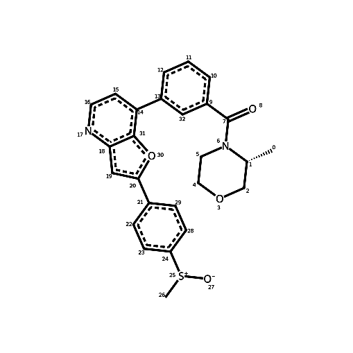 C[C@@H]1COCCN1C(=O)c1cccc(-c2ccnc3cc(-c4ccc([S+](C)[O-])cc4)oc23)c1